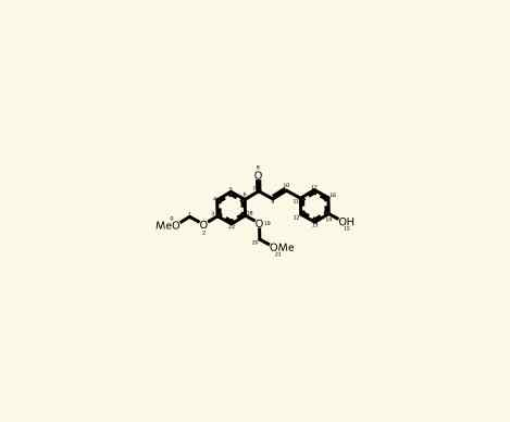 COCOc1ccc(C(=O)C=Cc2ccc(O)cc2)c(OCOC)c1